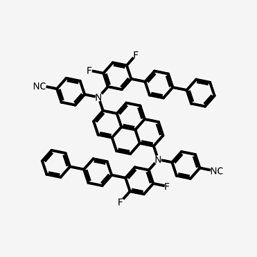 [C-]#[N+]c1ccc(N(c2cc(-c3ccc(-c4ccccc4)cc3)c(F)cc2F)c2ccc3ccc4c(N(c5ccc(C#N)cc5)c5cc(-c6ccc(-c7ccccc7)cc6)c(F)cc5F)ccc5ccc2c3c54)cc1